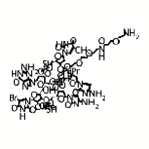 CO[C@H]1C(OP(=O)(S)OC[C@H]2O[C@@H](n3ccc(N)nc3=O)CC2OP(=O)(S)OC[C@H]2O[C@@H](n3cnc4c(=O)[nH]c(N)nc43)CC2OP(=O)(S)OC[C@H]2O[C@@H](n3cc(C)c(=O)[nH]c3=O)CC2OP(=S)(OCCOCCOCCNC(=O)CCOCCN)OC[C@H]2O[C@@H](n3ccc(N)nc3=O)CC2C(C)C)[C@@H](CO)O[C@H]1n1cc(Br)c(=O)[nH]c1=O